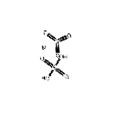 O=S(=O)(O)O.O=S(=O)=O.[B]